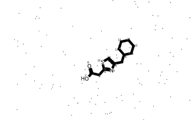 O=C(O)Cc1nc(CC2CCCCC2)cs1